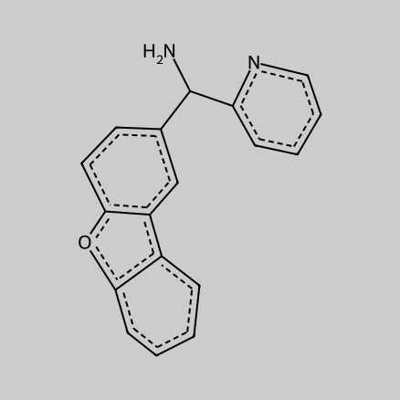 NC(c1ccc2oc3ccccc3c2c1)c1ccccn1